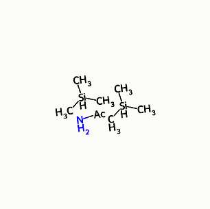 CC(N)=O.C[SiH](C)C.C[SiH](C)C